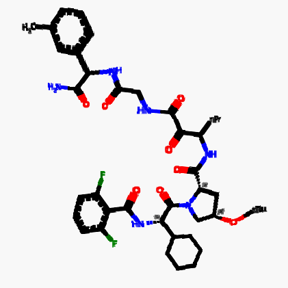 CCCC(NC(=O)[C@@H]1C[C@@H](OC(C)(C)C)CN1C(=O)[C@@H](NC(=O)c1c(F)cccc1F)C1CCCCC1)C(=O)C(=O)NCC(=O)NC(C(N)=O)c1cccc(C)c1